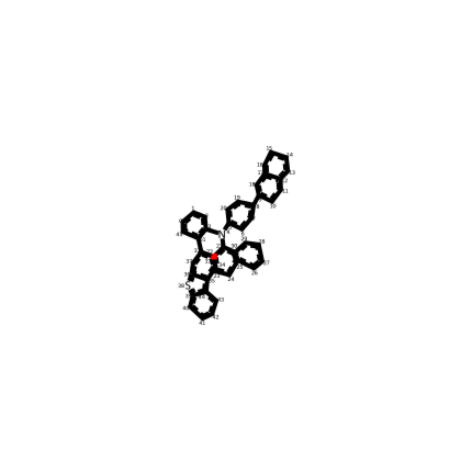 c1ccc(N(c2ccc(-c3ccc4ccccc4c3)cc2)c2cccc3ccccc23)c(-c2ccc3c(c2)sc2ccccc23)c1